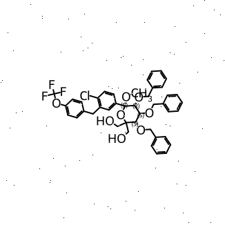 CO[C@@]1(c2ccc(Cl)c(Cc3ccc(OC(F)(F)F)cc3)c2)OC(CO)(CO)[C@@H](OCc2ccccc2)[C@H](OCc2ccccc2)[C@H]1OCc1ccccc1